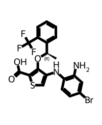 C[C@@H](Oc1c(Nc2ccc(Br)cc2N)csc1C(=O)O)c1ccccc1C(F)(F)F